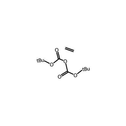 C=C.CC(C)(C)OC(=O)OC(=O)OC(C)(C)C